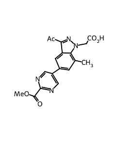 COC(=O)c1ncc(-c2cc(C)c3c(c2)c(C(C)=O)nn3CC(=O)O)cn1